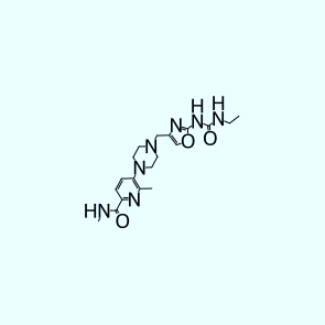 CCNC(=O)Nc1nc(CN2CCN(c3ccc(C(=O)NC)nc3C)CC2)co1